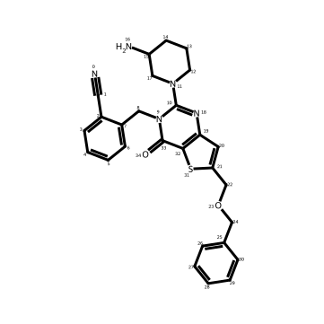 N#Cc1ccccc1Cn1c(N2CCCC(N)C2)nc2cc(COCc3ccccc3)sc2c1=O